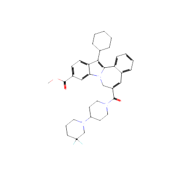 COC(=O)c1ccc2c(C3CCCCC3)c3n(c2c1)CC(C(=O)N1CCC(N2CCCC(F)(F)C2)CC1)=Cc1ccccc1-3